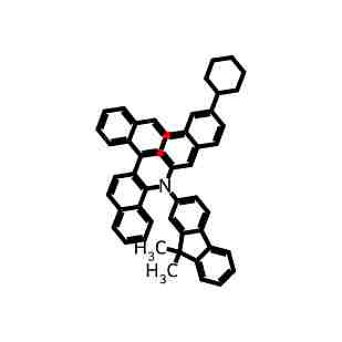 CC1(C)c2ccccc2-c2ccc(N(c3ccc4cc(C5CCCCC5)ccc4c3)c3c(-c4cccc5ccccc45)ccc4ccccc34)cc21